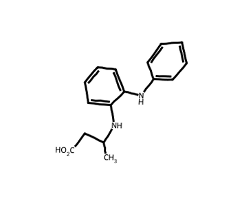 CC(CC(=O)O)Nc1ccccc1Nc1ccccc1